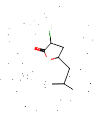 CC(C)CC1CC(Cl)C(=O)O1